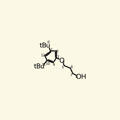 CC(C)(C)c1cc(OCCCO)cc(C(C)(C)C)c1